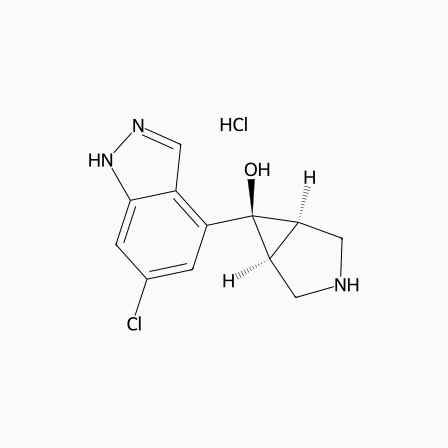 Cl.O[C@]1(c2cc(Cl)cc3[nH]ncc23)[C@@H]2CNC[C@@H]21